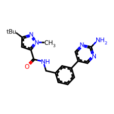 Cn1nc(C(C)(C)C)cc1C(=O)NCc1cccc(-c2cnc(N)nc2)c1